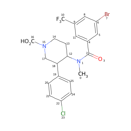 CN(C(=O)c1cc(Br)cc(C(F)(F)F)c1)C1CCN(C(=O)O)CC1c1ccc(Cl)cc1